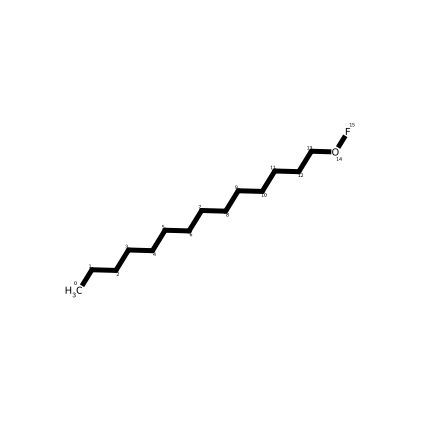 CCCCCCCCCCCCCCOF